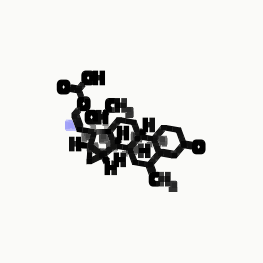 C=C1C[C@@H]2[C@H](CC[C@@]3(CC)[C@H]2[C@@H]2C[C@@H]2[C@@]3(O)/C=C\OC(=O)O)[C@H]2CCC(=O)C=C12